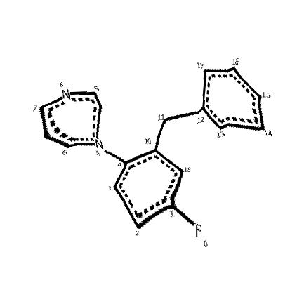 Fc1ccc(-n2ccnc2)c(Cc2ccccc2)c1